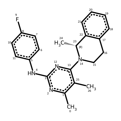 Cc1nc(Nc2ccc(F)cc2)nc(N2CCc3ccccc3[C@H]2C)c1C